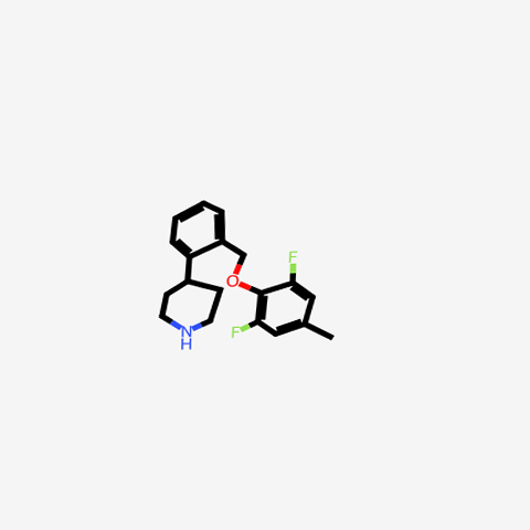 Cc1cc(F)c(OCc2ccccc2C2CCNCC2)c(F)c1